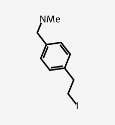 CNCc1ccc(CCI)cc1